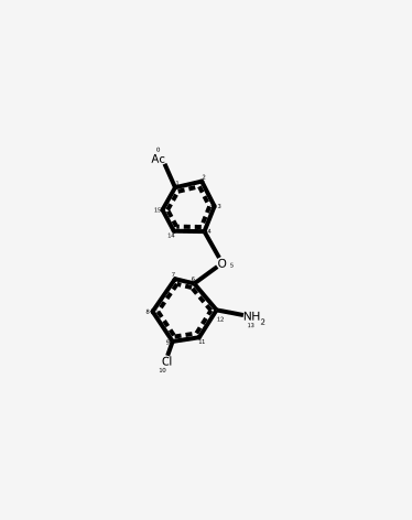 CC(=O)c1ccc(Oc2ccc(Cl)cc2N)cc1